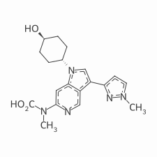 CN(C(=O)O)c1cc2c(cn1)c(-c1ccn(C)n1)cn2[C@H]1CC[C@H](O)CC1